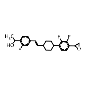 CC(O)c1ccc(/C=C/C2CCC(c3ccc(C4CO4)c(F)c3F)CC2)cc1F